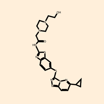 O=C(CN1CCN(CCO)CC1)Nc1nc2ccc(Sc3nnc4ccc(C5CC5)nn34)cc2s1